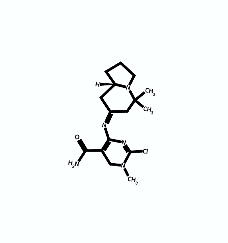 CN1CC(C(N)=O)=C(/N=C2/C[C@@H]3CCCN3C(C)(C)C2)N=C1Cl